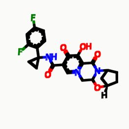 O=C(NC1(c2ccc(F)cc2F)CC1)c1cn2c(c(O)c1=O)C(=O)N1C3CC[C@@H](C3)OC1C2